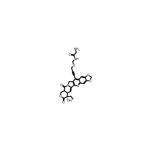 CC[C@@]1(O)C(=O)OCC2C(=O)N3Cc4c(nc5cc6c(cc5c4C#CCOCNC(=O)CN)OCO6)C3=CC21